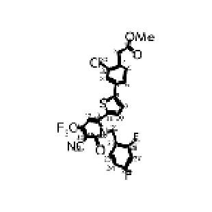 COC(=O)Cc1ccc(-c2ccc(-c3cc(C(F)(F)F)c(C#N)c(=O)n3Cc3ccc(F)cc3F)s2)cc1Cl